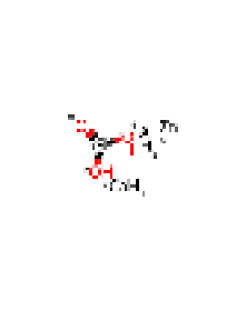 O=[Si](O)O.[AlH3].[CaH2].[Zn]